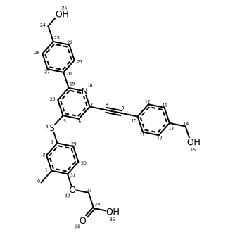 Cc1cc(Sc2cc(C#Cc3ccc(CO)cc3)nc(-c3ccc(CO)cc3)c2)ccc1OCC(=O)O